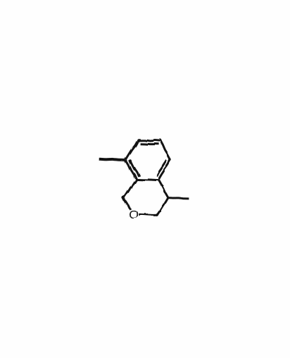 Cc1cccc2c1COCC2C